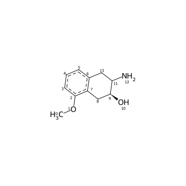 COc1cccc2c1C[C@H](O)C(N)C2